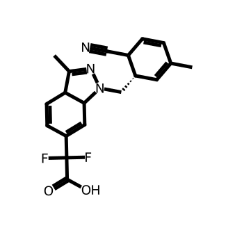 CC1=C[C@H](CN2N=C(C)C3C=CC(C(F)(F)C(=O)O)=CC32)C(C#N)C=C1